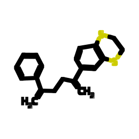 C=C(CCC(=C)c1ccc2c(c1)SCCS2)c1ccccc1